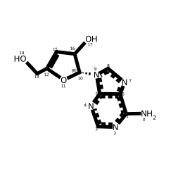 Nc1ncnc2c1ncn2[C@@H]1OC(CO)=CC1O